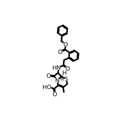 CC1=C(C(=O)O)N2C(=O)C(NC(=O)Cc3ccccc3C(=O)OCc3ccccc3)[C@H]2SC1